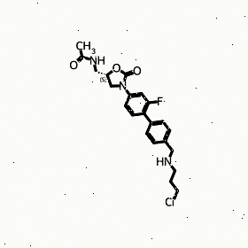 CC(=O)NC[C@H]1CN(c2ccc(-c3ccc(CNCCCCl)cc3)c(F)c2)C(=O)O1